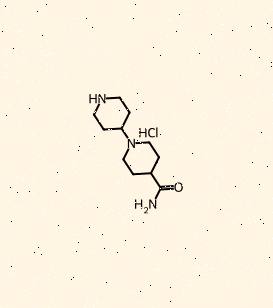 Cl.NC(=O)C1CCN(C2CCNCC2)CC1